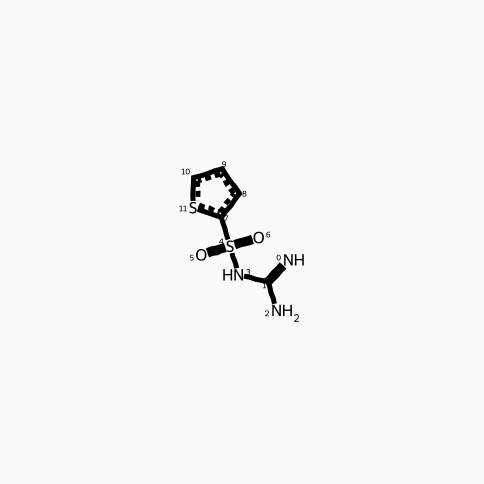 N=C(N)NS(=O)(=O)c1cccs1